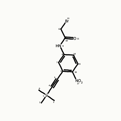 C[Si](C)(C)C#Cc1cc(NC(=O)CBr)ccc1[N+](=O)[O-]